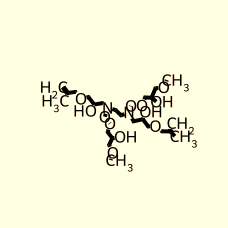 C=C(C)COCC(O)CN(CCN(CC(O)COCC(=C)C)OOCC(O)COC)OOCC(O)COC